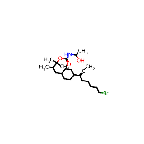 C=C=C(CCCCCBr)C1CCC(CC(C)C(C)(C)OC(=O)NC(C)O)CC1